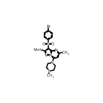 CSc1nn2c(N3CCN(C)CC3)cc(C)nc2c1S(=O)(=O)c1ccc(Br)cc1